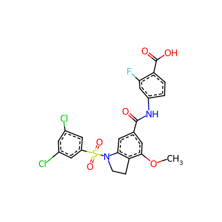 COc1cc(C(=O)Nc2ccc(C(=O)O)c(F)c2)cc2c1CCN2S(=O)(=O)c1cc(Cl)cc(Cl)c1